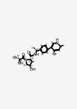 CC1C=C(Br)C(c2ccc([C@H](C)NC(=O)[C@@H]3C[C@@H](O)CN3C(=O)[C@@H](N)C(C)(C)C)cc2)=CN1